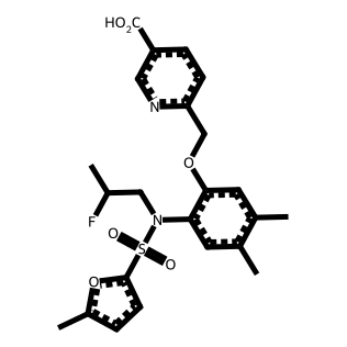 Cc1ccc(S(=O)(=O)N(CC(C)F)c2cc(C)c(C)cc2OCc2ccc(C(=O)O)cn2)o1